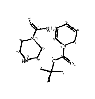 CC(C)(C)OC(=O)N1C=CC=CC1.NC(=S)N1CCNCC1